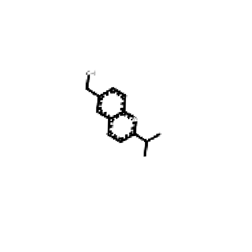 CC(C)c1ccc2cc(CO)ccc2n1